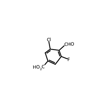 O=Cc1c(F)cc(C(=O)O)cc1Cl